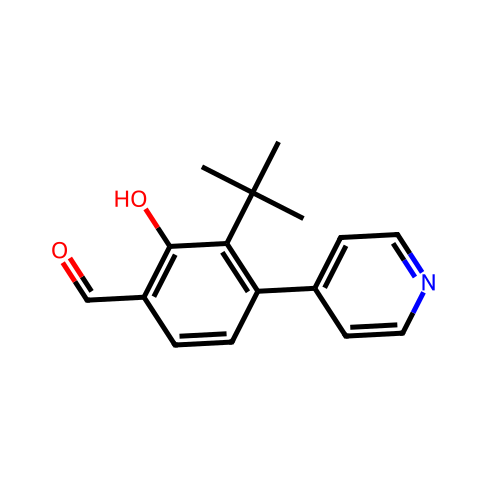 CC(C)(C)c1c(-c2ccncc2)ccc(C=O)c1O